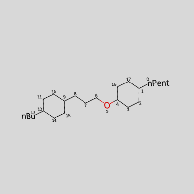 CCCCCC1CCC(OCCCC2CCC(CCCC)CC2)CC1